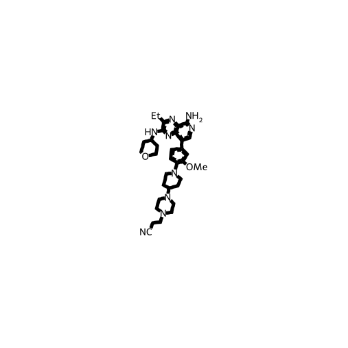 CCc1nc2c(N)ncc(-c3ccc(N4CCC(N5CCN(CCC#N)CC5)CC4)c(OC)c3)c2nc1NC1CCOCC1